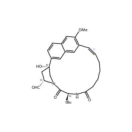 COc1cc2ccc3cc2cc1/C=C\CCCCC(=O)N[C@@H](C(C)(C)C)C(=O)N1C[C@@]3(O)C[C@H]1C=O